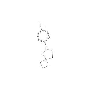 Nc1ccc(N2CC[C@@]3(CCO3)C2)cc1